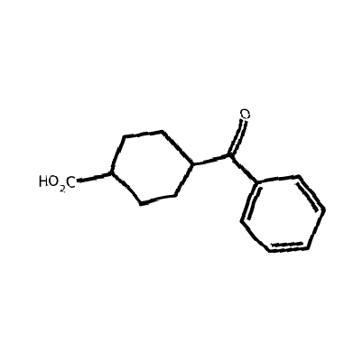 O=C(O)C1CCC(C(=O)c2ccccc2)CC1